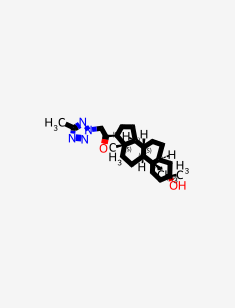 CC[C@]12CC[C@@](C)(O)C[C@@H]1CC[C@H]1[C@@H]3CC[C@H](C(=O)Cn4nnc(C)n4)[C@@]3(C)CC[C@@H]12